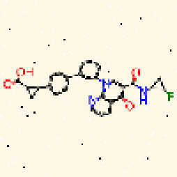 O=C(NC1CC1F)c1cn(-c2cccc(-c3ccc(C4CC4C(=O)O)cc3)c2)c2ncccc2c1=O